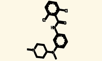 CN1CCC(N(C)c2cccc(NC(=O)c3c(Cl)cccc3Cl)c2)CC1